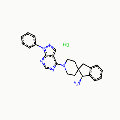 Cl.N[C@@H]1c2ccccc2CC12CCN(c1ncnc3c1cnn3-c1ccccc1)CC2